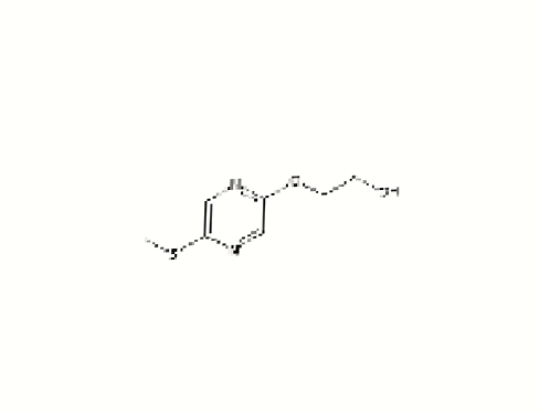 CSc1cnc(OCCO)cn1